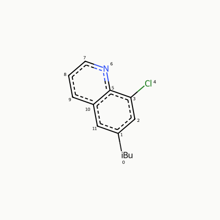 CCC(C)c1cc(Cl)c2ncccc2c1